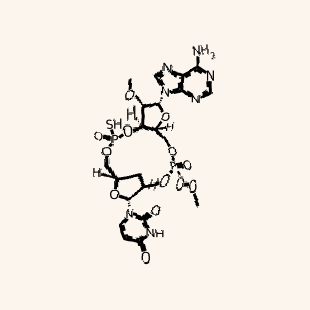 COOP1(=O)OC[C@H]2O[C@@H](n3cnc4c(N)ncnc43)[C@H](OC)[C@@H]2OP(=O)(S)OC[C@@H]2C[C@@H](O1)[C@H](n1ccc(=O)[nH]c1=O)O2